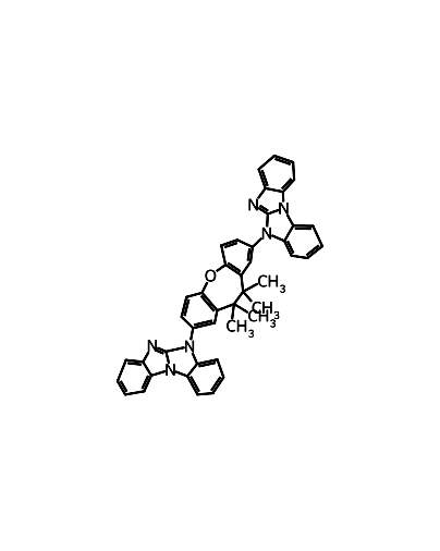 CC1(C)c2cc(-n3c4ccccc4n4c5ccccc5nc34)ccc2Oc2ccc(-n3c4ccccc4n4c5ccccc5nc34)cc2C1(C)C